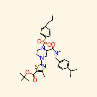 CCCc1ccc(S(=O)(=O)N2CCN(c3nc(C)c(C(=O)OC(C)(C)C)s3)CC2C(=O)N(C)Cc2ccc(C(C)C)cc2)cc1